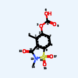 Cc1c(OC(=O)O)ccc2c1C(=O)N(C)S2(=O)=O